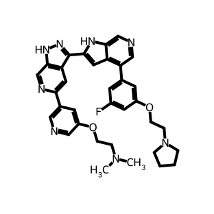 CN(C)CCOc1cncc(-c2cc3c(-c4cc5c(-c6cc(F)cc(OCCN7CCCC7)c6)cncc5[nH]4)n[nH]c3cn2)c1